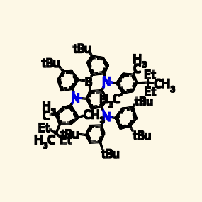 CCC(C)(CC)c1cc(C)c(N2c3ccc(C(C)(C)C)cc3B3c4cc(C(C)(C)C)ccc4N(c4cc(C)c(C(C)(CC)CC)cc4C)c4cc(N(c5cc(C(C)(C)C)cc(C(C)(C)C)c5)c5cc(C(C)(C)C)cc(C(C)(C)C)c5)cc2c43)cc1C